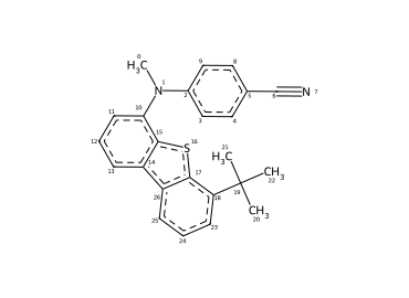 CN(c1ccc(C#N)cc1)c1cccc2c1sc1c(C(C)(C)C)cccc12